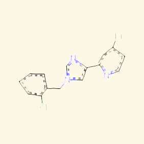 CCc1ccnc(-c2cn(Cc3ccccc3Cl)cn2)c1